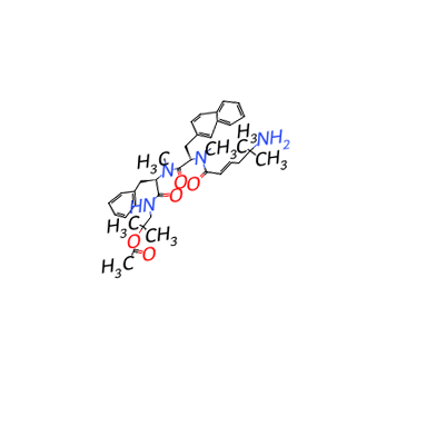 CC(=O)OC(C)(C)CNC(=O)[C@@H](Cc1ccccc1)N(C)C(=O)[C@@H](Cc1ccc2ccccc2c1)N(C)C(=O)/C=C/CC(C)(C)N